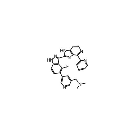 CN(C)Cc1cncc(-c2ccc3[nH]nc(-c4nc5c(-c6ccccn6)nccc5[nH]4)c3c2F)c1